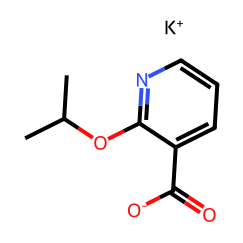 CC(C)Oc1ncccc1C(=O)[O-].[K+]